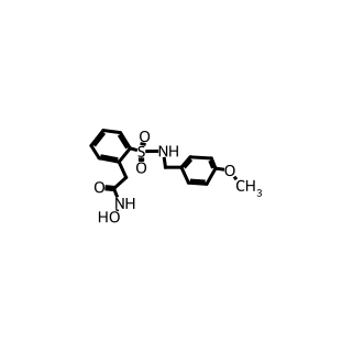 COc1ccc(CNS(=O)(=O)c2ccccc2CC(=O)NO)cc1